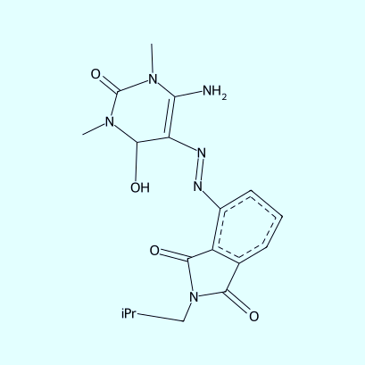 CC(C)CN1C(=O)c2cccc(N=NC3=C(N)N(C)C(=O)N(C)C3O)c2C1=O